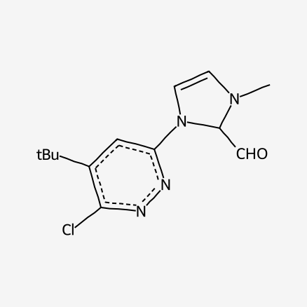 CN1C=CN(c2cc(C(C)(C)C)c(Cl)nn2)C1C=O